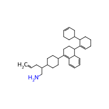 C=CCC(CN)C1CCC(C2=C3C=CC=CC3C(C3=CCCCC3C3CC=CCC3)CC2)CC1